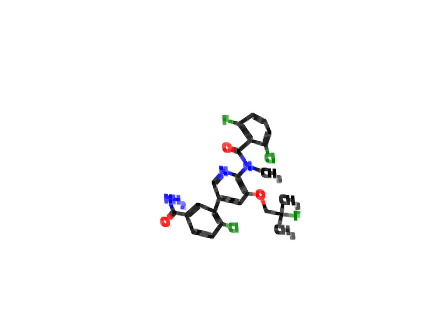 CN(C(=O)c1c(F)cccc1Cl)c1ncc(-c2cc(C(N)=O)ccc2Cl)cc1OCC(C)(C)F